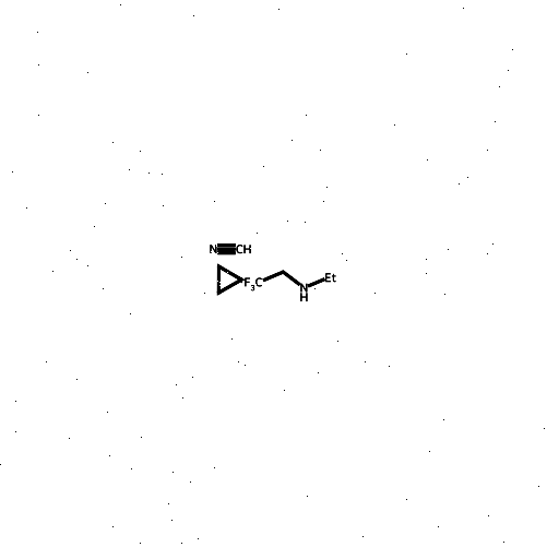 C#N.[CH2]CNCC(F)(F)F.[CH]1CC1